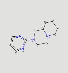 c1cnc(N2CCN3CCCCC3C2)nc1